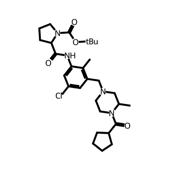 Cc1c(CN2CCN(C(=O)C3CCCC3)C(C)C2)cc(Cl)cc1NC(=O)C1CCCN1C(=O)OC(C)(C)C